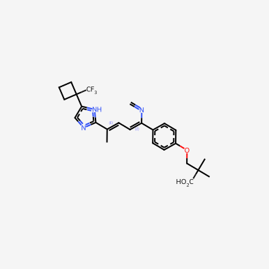 C=N/C(=C\C=C(/C)c1ncc(C2(C(F)(F)F)CCC2)[nH]1)c1ccc(OCC(C)(C)C(=O)O)cc1